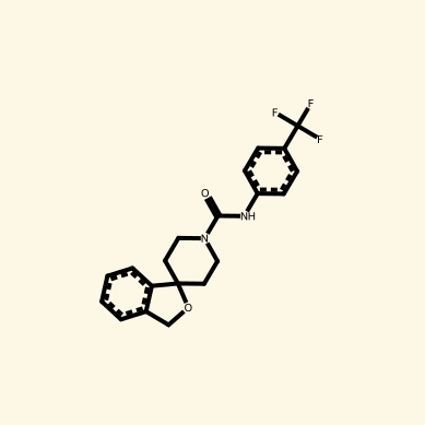 O=C(Nc1ccc(C(F)(F)F)cc1)N1CCC2(CC1)OCc1ccccc12